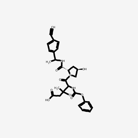 C#Cc1ccc(C(C)NC(=O)[C@@H]2C[C@@H](O)CN2C(=O)C(NC(=O)Oc2ccccc2)C(C)(C)CC(=O)O)cc1